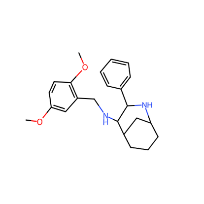 COc1ccc(OC)c(CNC2C3CCCC(C3)NC2c2ccccc2)c1